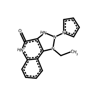 CCN1c2c(c(=O)[nH]c3ccccc23)NN1n1cccc1